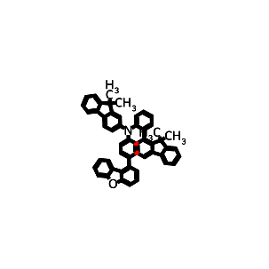 CC1(C)c2ccccc2-c2ccc(N(c3ccc(-c4cccc5oc6ccccc6c45)cc3)c3ccccc3-c3cccc4c3C(C)(C)c3ccccc3-4)cc21